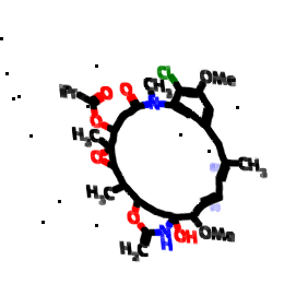 C=C1NC2(O)CC(O1)C(C)C1OC1(C)C(OC(=O)C(C)C)CC(=O)N(C)c1cc(cc(OC)c1Cl)C/C(C)=C/C=C/C2OC